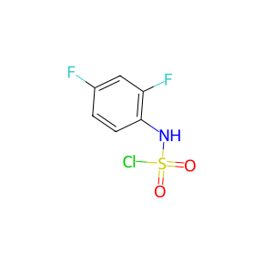 O=S(=O)(Cl)Nc1ccc(F)cc1F